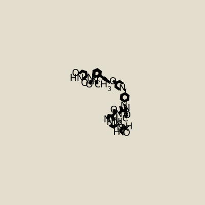 COc1nn([C@H]2CC[C@H](CN3CCC(OCC#Cc4cccc5c4n(C)c(=O)n5C4CCC(=O)NC4=O)CC3)CC2)cc1NC(=O)c1cnn2ccc(N3C[C@H]4C[C@@H]3CO4)nc12